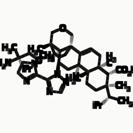 CC(C)[C@@H](C)[C@@]1(C)CC[C@]2(C)[C@H]3CC[C@@H]4[C@@]5(COC[C@@]4(C)[C@@H](OC[C@](C)(N)C(C)C)[C@H](n4ncnc4C4=NCCN4C)C5)C3=CC[C@@]2(C)[C@@H]1C(=O)O